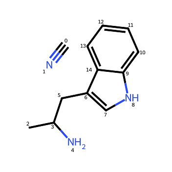 C#N.CC(N)Cc1c[nH]c2ccccc12